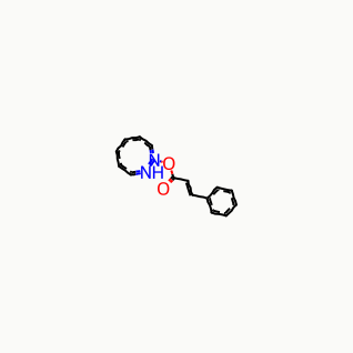 O=C(C=Cc1ccccc1)On1cccccc[nH]1